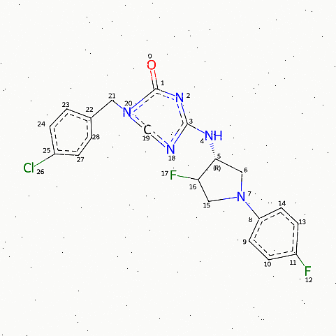 O=c1nc(N[C@@H]2CN(c3ccc(F)cc3)CC2F)ncn1Cc1ccc(Cl)cc1